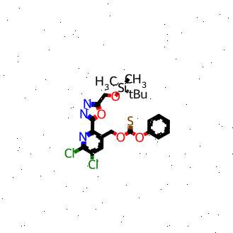 CC(C)(C)[Si](C)(C)OCc1nnc(-c2nc(Cl)c(Cl)cc2COC(=S)Oc2ccccc2)o1